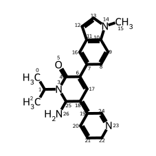 CC(C)N1C(=O)C(c2ccc3c(ccn3C)c2)=CC(=C2C=CCN=C2)C1N